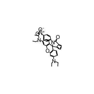 CCN(CC)c1ccc2c(c1)Oc1cc(N(CC)CC)ccc1C21c2ccccc2C(=O)N1c1ccc([N+](=O)[O-])cc1